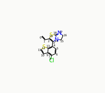 C=CC1=C(c2ccc(Cl)c3ccsc23)N2CCN=C2S1